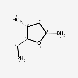 BC1C[C@@H](O)[C@@H](CP)O1